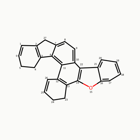 C1=CC2=C(CC1)c1c(ccc3c1c1c(c4oc5ccccc5c43)CCC=C1)C2